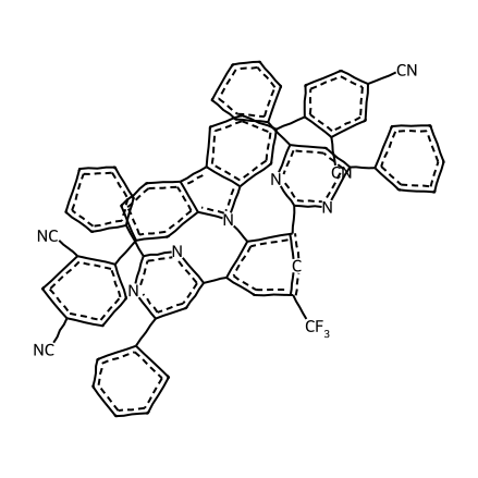 N#Cc1ccc(-c2ccc3c4ccc(-c5ccc(C#N)cc5C#N)cc4n(-c4c(-c5cc(-c6ccccc6)nc(-c6ccccc6)n5)cc(C(F)(F)F)cc4-c4nc(-c5ccccc5)cc(-c5ccccc5)n4)c3c2)c(C#N)c1